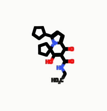 O=C(O)CNC(=O)C1=C(O)C2(CCCC2)n2c(ccc2C2CCCC2)C1=O